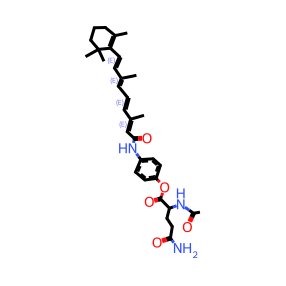 CC(=O)NC(CCC(N)=O)C(=O)Oc1ccc(NC(=O)/C=C(C)/C=C/C=C(C)/C=C/C2=C(C)CCCC2(C)C)cc1